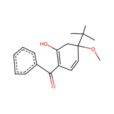 COC1(C(C)(C)C)C=CC(C(=O)c2ccccc2)=C(O)C1